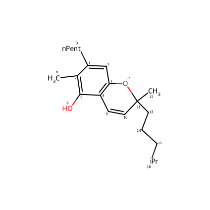 CCCCCc1cc2c(c(O)c1C)C=CC(C)(CCCC(C)C)O2